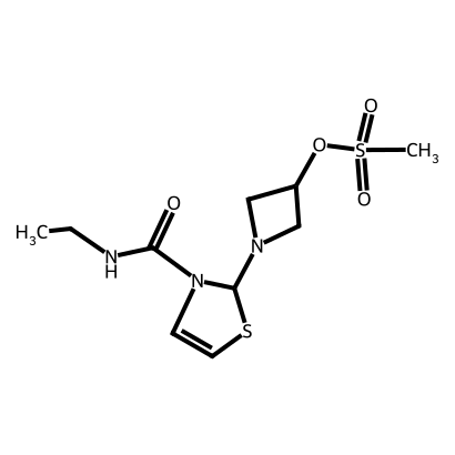 CCNC(=O)N1C=CSC1N1CC(OS(C)(=O)=O)C1